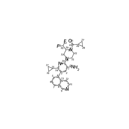 Nc1cc(-c2cccc3cnccc23)c(C2CC2)nc1N1CCN(C(=O)C2CC2)C(C(F)F)C1